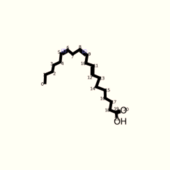 CCCCC/C=C\C/C=C\CC=CCCCCCCC(=O)O